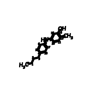 CCCCc1ccc(Nc2ccc(C)c(O)c2)cc1